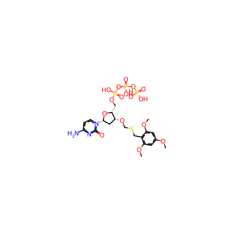 COc1cc(OC)c(CSCO[C@@H]2C[C@H](n3ccc(N)nc3=O)O[C@@H]2COP(=O)(O)OP(=O)(O)OP(=O)(O)O)c(OC)c1